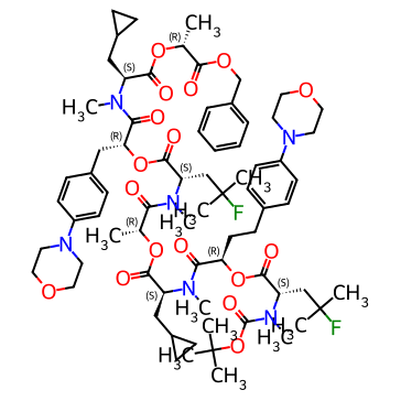 C[C@@H](OC(=O)[C@H](CC1CC1)N(C)C(=O)[C@@H](Cc1ccc(N2CCOCC2)cc1)OC(=O)[C@H](CC(C)(C)F)N(C)C(=O)[C@@H](C)OC(=O)[C@H](CC1CC1)N(C)C(=O)[C@@H](CCc1ccc(N2CCOCC2)cc1)OC(=O)[C@H](CC(C)(C)F)N(C)C(=O)OC(C)(C)C)C(=O)OCc1ccccc1